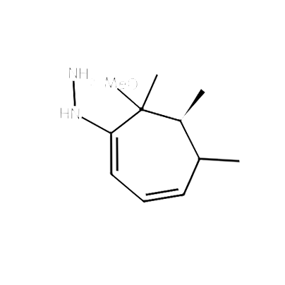 COC1(C)C(NN)=CC=CC(C)[C@@H]1C